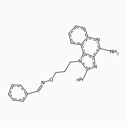 CCCc1nc2c(N)nc3ccccc3c2n1CCCON=Cc1ccccc1